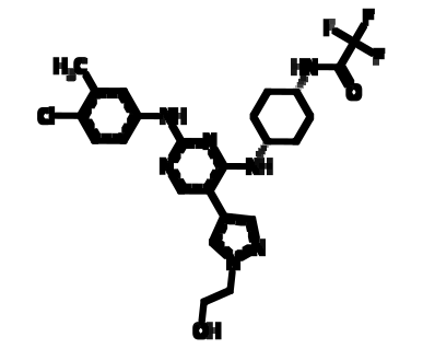 Cc1cc(Nc2ncc(-c3cnn(CCO)c3)c(N[C@H]3CC[C@@H](NC(=O)C(F)(F)F)CC3)n2)ccc1Cl